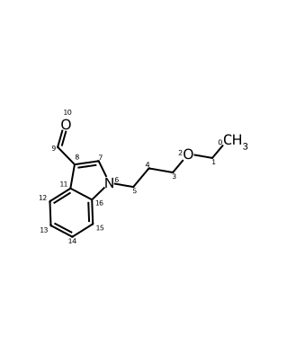 CCOCCCn1cc(C=O)c2ccccc21